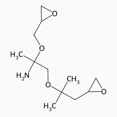 CC(C)(CC1CO1)OCC(C)(N)OCC1CO1